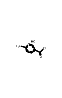 Cl.O=C(Cl)c1ccc(C(F)(F)F)nc1